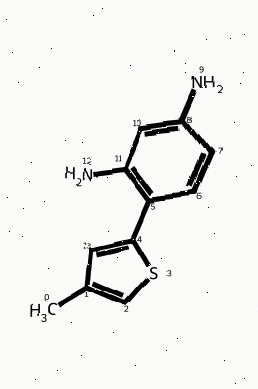 Cc1csc(-c2ccc(N)cc2N)c1